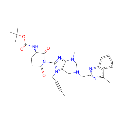 CC#CCn1c(N2C(=O)CC[C@@H](NC(=O)OC(C)(C)C)C2=O)nc2c1CN(Cc1nc(C)c3ccccc3n1)CN2C